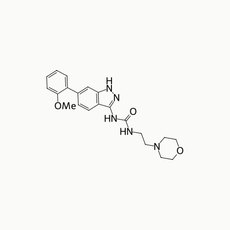 COc1ccccc1-c1ccc2c(NC(=O)NCCN3CCOCC3)n[nH]c2c1